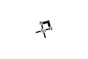 [CH3][Sn]1([CH3])[N]=C=[N]1